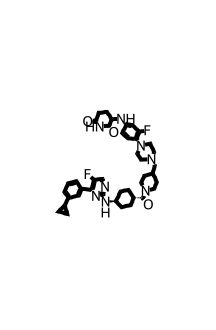 O=C1CCC(Nc2ccc(N3CCN(CC4CCN(C(=O)[C@H]5CC[C@H](Nc6ncc(F)c(-c7cccc(C8CC8)c7)n6)CC5)CC4)CC3)c(F)c2)C(=O)N1